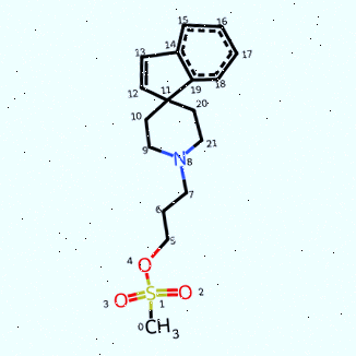 CS(=O)(=O)OCCCN1CCC2(C=Cc3ccccc32)CC1